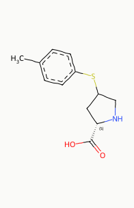 Cc1ccc(SC2CN[C@H](C(=O)O)C2)cc1